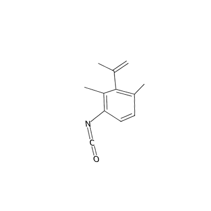 C=C(C)c1c(C)ccc(N=C=O)c1C